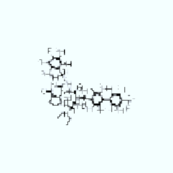 [2H]c1c([2H])c(C([2H])([2H])Sc2nc(=O)c3c(n2C([2H])([2H])C(=O)N(C([2H])([2H])c2c([2H])c([2H])c(-c4c([2H])c([2H])c(C(F)(F)F)c([2H])c4[2H])c([2H])c2C)C([2H])([2H])C([2H])([2H])N(CC)CC)CCC3)c([2H])c([2H])c1F